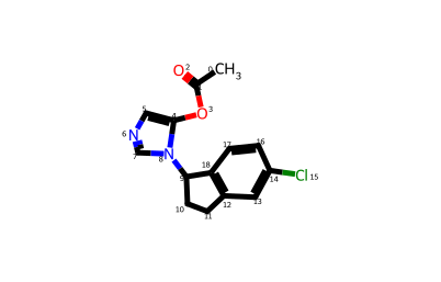 CC(=O)Oc1cncn1C1CCc2cc(Cl)ccc21